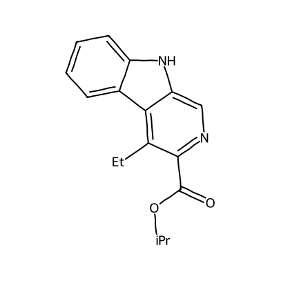 CCc1c(C(=O)OC(C)C)ncc2[nH]c3ccccc3c12